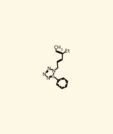 CC=C(C=CCN1N=NN=S1c1ccccc1)CC